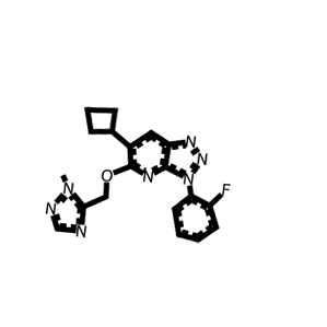 Cn1ncnc1COc1nc2c(cc1C1CCC1)nnn2-c1ccccc1F